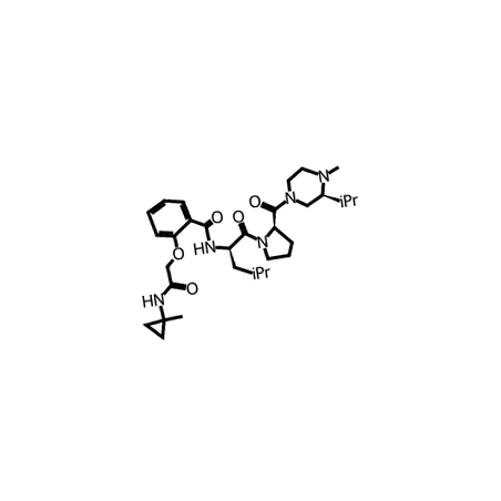 CC(C)C[C@@H](NC(=O)c1ccccc1OCC(=O)NC1(C)CC1)C(=O)N1CCC[C@@H]1C(=O)N1CCN(C)[C@@H](C(C)C)C1